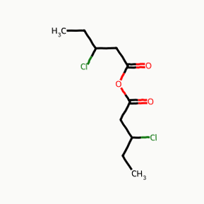 CCC(Cl)CC(=O)OC(=O)CC(Cl)CC